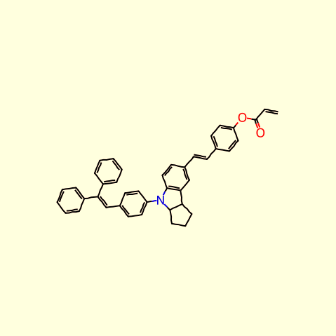 C=CC(=O)Oc1ccc(C=Cc2ccc3c(c2)C2CCCC2N3c2ccc(C=C(c3ccccc3)c3ccccc3)cc2)cc1